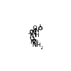 Cc1cccc(NC(=O)c2ccc(C)c(N3CCc4nc(N)ncc4C3)n2)c1